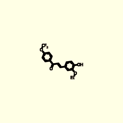 CCOc1cc(/C=C/C(=O)c2ccc(OC(F)(F)F)cc2)ccc1O